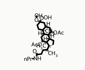 CCCNC(=O)CC[C@@H](C)[C@H]1CC[C@H]2[C@@H]3[C@H](OC(C)=O)C[C@@H]4CC(OO)(OO)CC[C@]4(C)[C@H]3C[C@H](OC(C)=O)[C@]12C